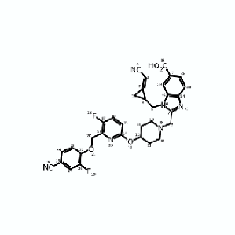 N#CC=C1CC1Cn1c(CN2CCC(Oc3ccc(F)c(COc4ccc(C#N)cc4F)n3)CC2)nc2ccc(C(=O)O)cc21